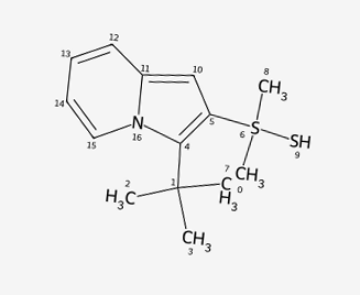 CC(C)(C)c1c(S(C)(C)S)cc2ccccn12